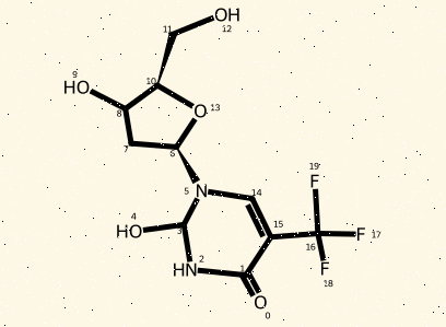 O=C1NC(O)N([C@H]2CC(O)[C@@H](CO)O2)C=C1C(F)(F)F